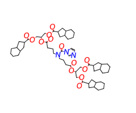 O=C(CCCN(CCCC(=O)OC(COC(=O)C1CC2CCCCC2C1)COC(=O)C1CC2CCCCC2C1)C(=O)n1ccnc1)OC(COC(=O)C1CC2CCCCC2C1)COC(=O)C1CC2CCCCC2C1